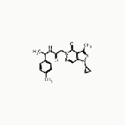 Cc1ccc(C(C)NC(=O)Cn2ncc3c(c(C)nn3C3CC3)c2=O)cc1